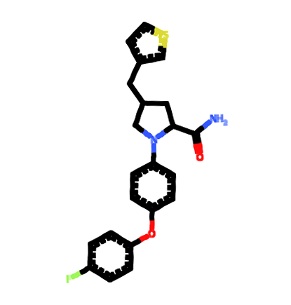 NC(=O)C1CC(Cc2ccsc2)CN1c1ccc(Oc2ccc(F)cc2)cc1